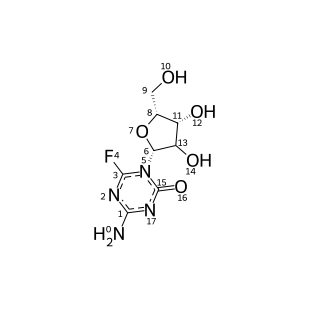 Nc1nc(F)n([C@@H]2O[C@H](CO)[C@H](O)C2O)c(=O)n1